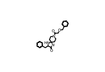 O=C1[N]C2(CCN(C(=O)COCc3ccccc3)CC2)NC1Cc1ccccc1